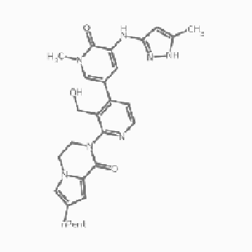 CCCCCc1cc2n(c1)CCN(c1nccc(-c3cc(Nc4cc(C)[nH]n4)c(=O)n(C)c3)c1CO)C2=O